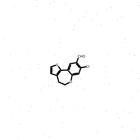 O=Cc1cc2c(cc1Cl)OCCc1ccsc1-2